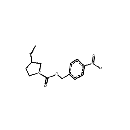 C[CH]C1CCN(C(=O)OCc2ccc([N+](=O)[O-])cc2)C1